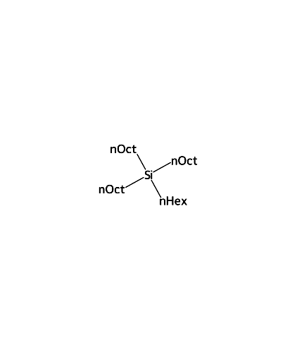 CCCCCCCC[Si](CCCCCC)(CCCCCCCC)CCCCCCCC